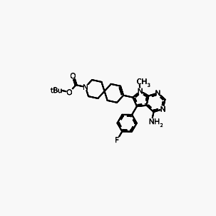 Cn1c(C2=CCC3(CC2)CCN(C(=O)OC(C)(C)C)CC3)c(-c2ccc(F)cc2)c2c(N)ncnc21